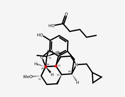 CCCCC(=O)O.CO[C@@]12CC[C@@]3(C[C@@H]1[C@](C)(O)C(C)(C)C)[C@H]1Cc4ccc(O)c5c4[C@@]3(CCN1CC1CC1)[C@H]2O5